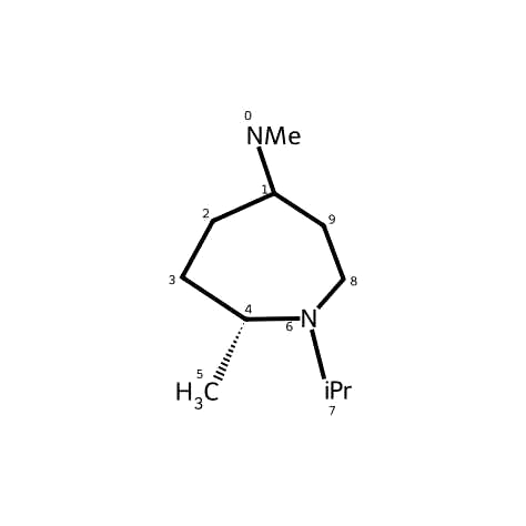 CNC1CC[C@@H](C)N(C(C)C)CC1